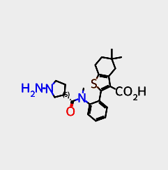 CN(C(=O)[C@H]1CCN(N)C1)c1ccccc1-c1sc2c(c1C(=O)O)CC(C)(C)CC2